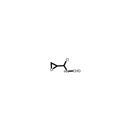 O=CNC(Cl)C1CO1